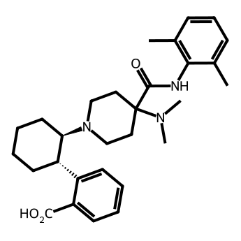 Cc1cccc(C)c1NC(=O)C1(N(C)C)CCN([C@@H]2CCCC[C@H]2c2ccccc2C(=O)O)CC1